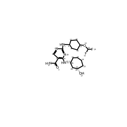 NC(=O)c1cnc(NC2CCC(OC(F)F)CC2)nc1N[C@@H]1CCCC[C@H](O)C1